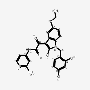 CCOc1ccc2c(c1)c(C(=O)C(=O)Nc1ccnc(C)c1)c(Cl)n2Cc1ccc(Cl)cc1Cl